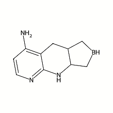 Nc1ccnc2c1CC1CBCC1N2